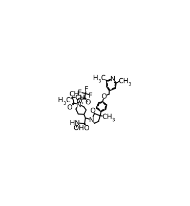 Cc1cc(COc2ccc(C3(C)CCN(C(C(=O)NO)C4CC[N+](OC(=O)C(F)(F)F)(C(=O)C(C)(C)C)CC4)C3=O)cc2)cc(C)n1